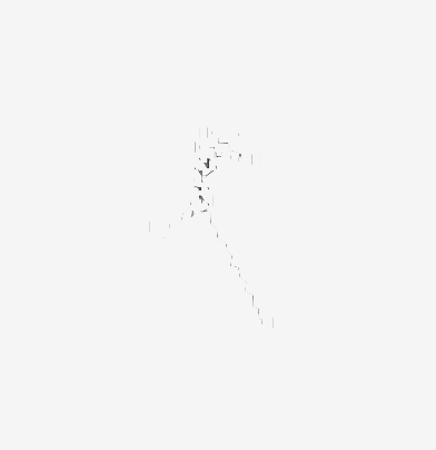 [CH2][CH]CSC[C@@H](NC(=O)CCCCCCCCCCCCCCCCC)C(=O)Nc1cn([C@H]2OC(CO)C(O)C(O)C2O)nn1